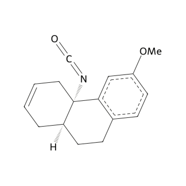 COc1ccc2c(c1)[C@]1(N=C=O)CC=CC[C@@H]1CC2